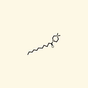 CCCCCCCCCCC(=O)N1CCS(C)(C)CC1